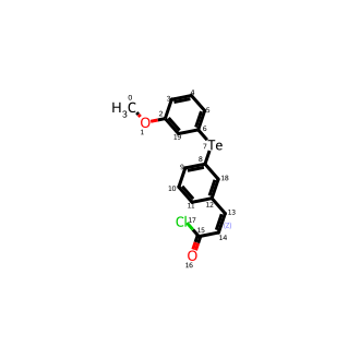 COc1cccc([Te]c2cccc(/C=C\C(=O)Cl)c2)c1